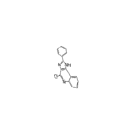 Clc1nc2ccccc2c2[nH]c(-c3ccccc3)nc12